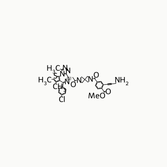 COC(=O)c1ccc(C(=O)N2CC3(CN(C(=O)C[C@@H]4N=C(c5ccc(Cl)cc5)c5c(sc(C)c5C)-n5c(C)nnc54)C3)C2)cc1C#CCN